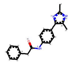 Cc1nc(-c2ccc(NC(=O)Cc3ccccc3)cc2)c(C)[nH]1